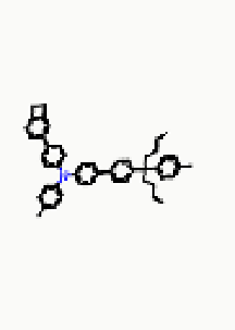 CCCCC(CCCC)(c1ccc(C)cc1)c1ccc(-c2ccc(N(c3ccc(C)cc3)c3ccc(-c4ccc5c(c4)CC5)cc3)cc2)cc1